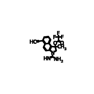 C#Cc1cccc2c3c(ccc12)N(C(=N)N)CC3(C)OC(=O)C(F)(F)F